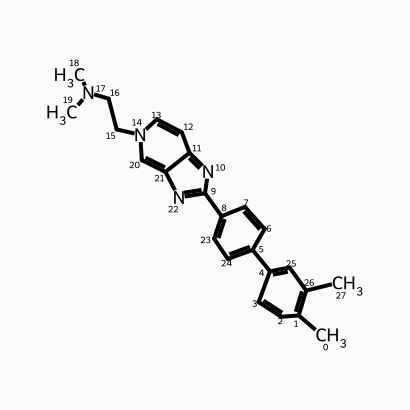 Cc1ccc(-c2ccc(-c3nc4ccn(CCN(C)C)cc-4n3)cc2)cc1C